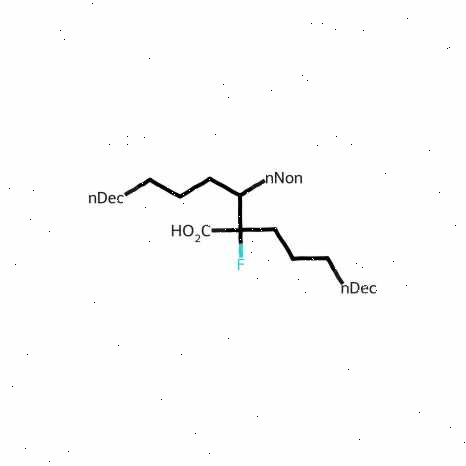 CCCCCCCCCCCCCC(CCCCCCCCC)C(F)(CCCCCCCCCCCCC)C(=O)O